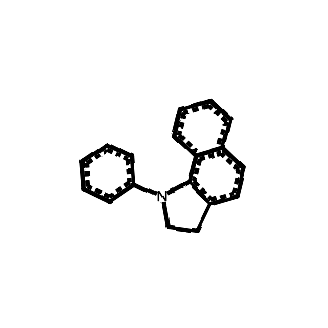 c1ccc(N2CCc3ccc4ccccc4c32)cc1